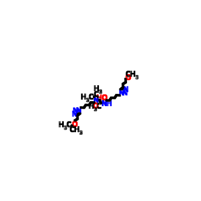 COCCCc1cn(CCCCCC(O)NC(C)CN(C(=O)CCCCCn2cc(CCOC(C)C)nn2)C(C)C)nn1